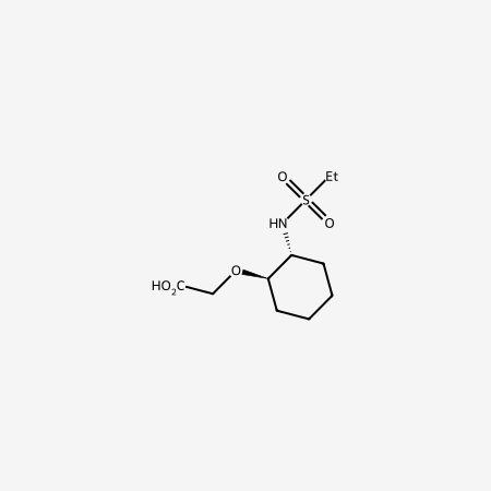 CCS(=O)(=O)N[C@@H]1CCCC[C@H]1OCC(=O)O